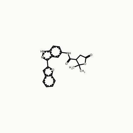 CC1(C)OC(=O)CC1C(=O)Nc1ccc2[nH]nc(-c3cc4ccccc4o3)c2c1